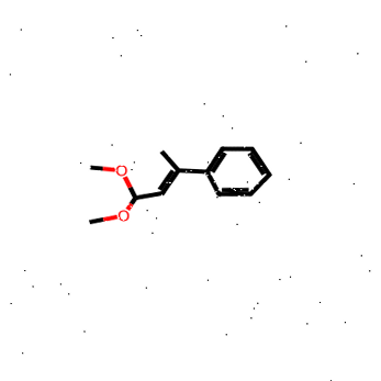 COC(C=C(C)c1ccccc1)OC